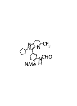 CNc1ccc(-c2c3nc(C(F)(F)F)ccc3nn2C2CCCC2)cc1NC=O